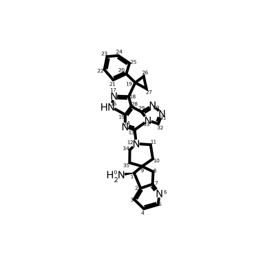 N[C@@H]1c2cccnc2CC12CCN(c1nc3[nH]nc(C4(c5ccccc5)CC4)c3c3nncn13)CC2